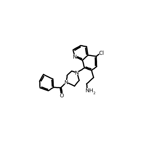 NCCc1cc(Cl)c2cccnc2c1N1CCN(C(=O)c2ccccc2)CC1